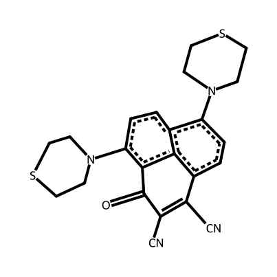 N#CC1=C(C#N)c2ccc(N3CCSCC3)c3ccc(N4CCSCC4)c(c23)C1=O